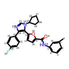 Cc1cccc(NC(=O)c2ccc(-c3c(-c4ccc(F)cc4)ncn3C3CCCC3)o2)c1